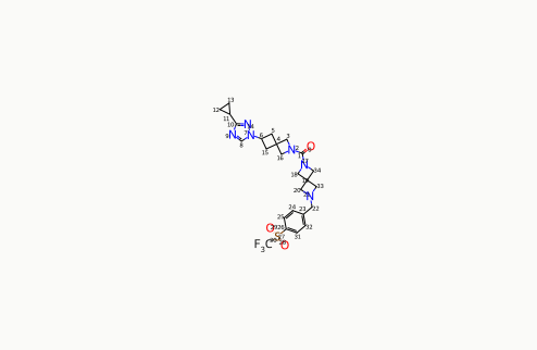 O=C(N1CC2(CC(n3cnc(C4CC4)n3)C2)C1)N1CC2(CN(Cc3ccc(S(=O)(=O)C(F)(F)F)cc3)C2)C1